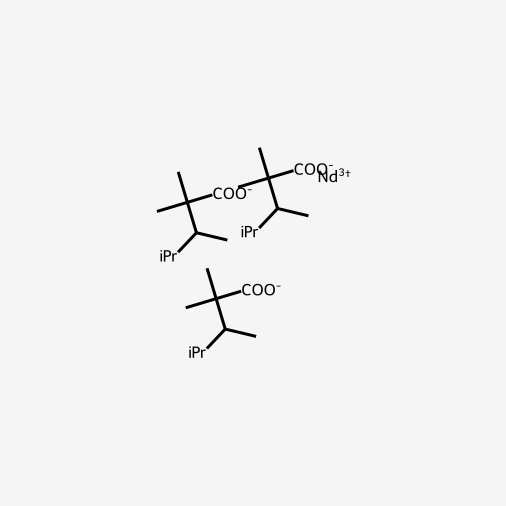 CC(C)C(C)C(C)(C)C(=O)[O-].CC(C)C(C)C(C)(C)C(=O)[O-].CC(C)C(C)C(C)(C)C(=O)[O-].[Nd+3]